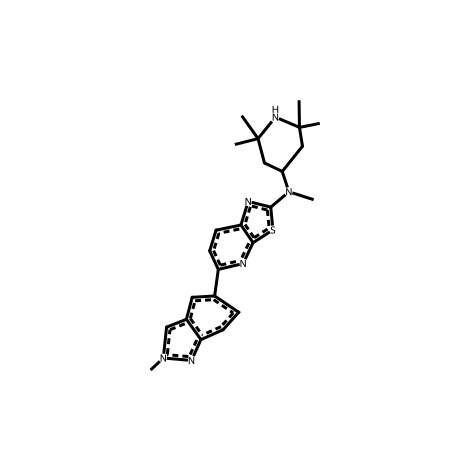 CN(c1nc2ccc(-c3ccc4nn(C)cc4c3)nc2s1)C1CC(C)(C)NC(C)(C)C1